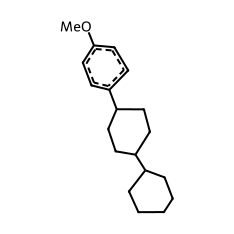 COc1ccc(C2CCC(C3CCCCC3)CC2)cc1